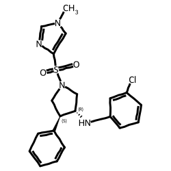 Cn1cnc(S(=O)(=O)N2C[C@H](Nc3cccc(Cl)c3)[C@@H](c3ccccc3)C2)c1